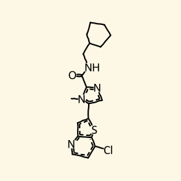 Cn1c(-c2cc3nccc(Cl)c3s2)cnc1C(=O)NCC1CCCCC1